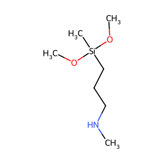 CNCCC[Si](C)(OC)OC